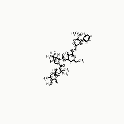 CCCCC(NC(=O)[C@@H]1[C@H]2[C@@H](CN1C(=O)[C@@H](NC(=O)OC(C)C(C)C)C(C)(C)C)C2(C)C)C(=O)C(=O)NCC(=O)N[C@H](C(=O)N(C)C)c1ccccc1